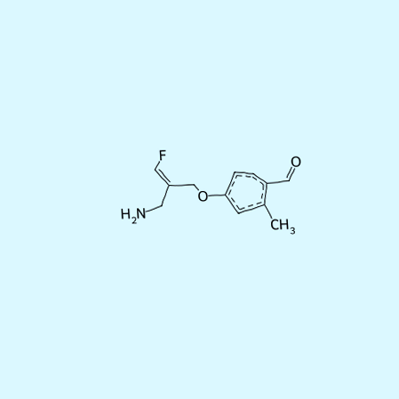 Cc1cc(OC/C(=C\F)CN)ccc1C=O